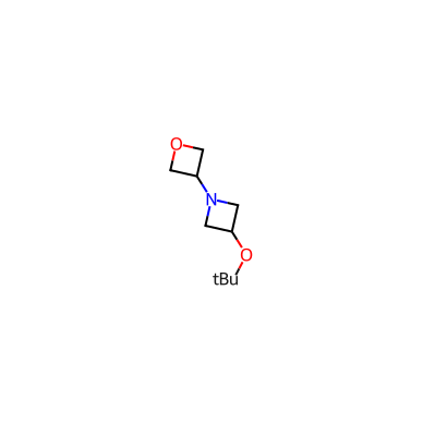 CC(C)(C)OC1CN(C2COC2)C1